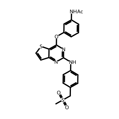 CC(=O)Nc1cccc(Oc2nc(Nc3ccc(CS(C)(=O)=O)cc3)nc3ccsc23)c1